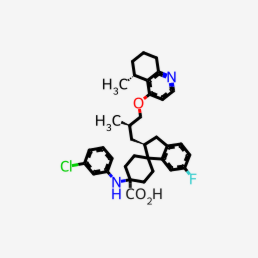 C[C@@H](COc1ccnc2c1[C@H](C)CCC2)C[C@H]1Cc2ccc(F)cc2C12CCC(Nc1cccc(Cl)c1)(C(=O)O)CC2